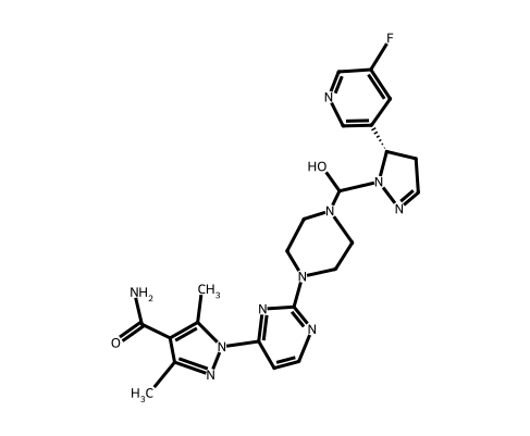 Cc1nn(-c2ccnc(N3CCN(C(O)N4N=CC[C@H]4c4cncc(F)c4)CC3)n2)c(C)c1C(N)=O